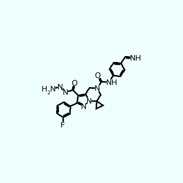 N=Cc1ccc(NC(=O)N2Cc3c(C(=O)N=NN)c(-c4cccc(F)c4)nn3C3(CC3)C2)cc1